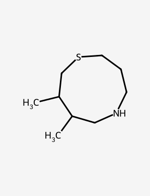 CC1CNCCCSCC1C